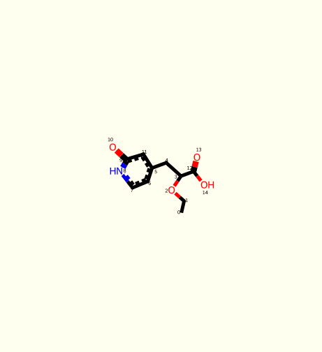 CCOC(Cc1cc[nH]c(=O)c1)C(=O)O